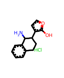 Cl.NC1c2ccccc2CCC1c1ccoc1O